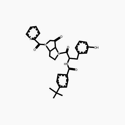 CC(C)(C)c1ccc(C(=O)NC(Cc2cccc(O)c2)C(=O)N2CCC3C2C(=O)CN3C(=O)c2ccccn2)cc1